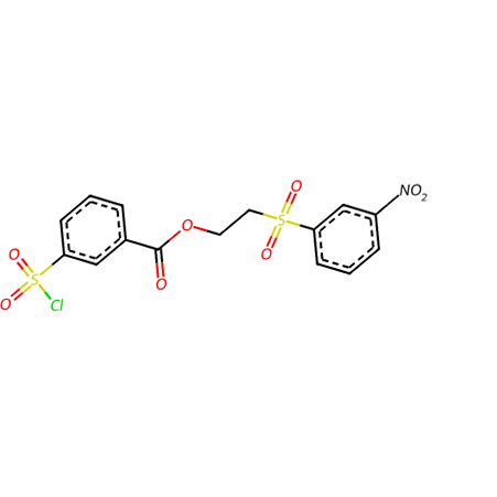 O=C(OCCS(=O)(=O)c1cccc([N+](=O)[O-])c1)c1cccc(S(=O)(=O)Cl)c1